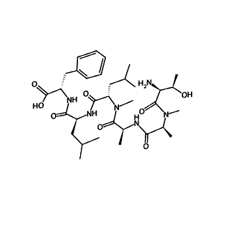 CC(C)C[C@H](NC(=O)[C@H](CC(C)C)N(C)C(=O)[C@H](C)NC(=O)[C@H](C)N(C)C(=O)[C@@H](N)[C@@H](C)O)C(=O)N[C@@H](Cc1ccccc1)C(=O)O